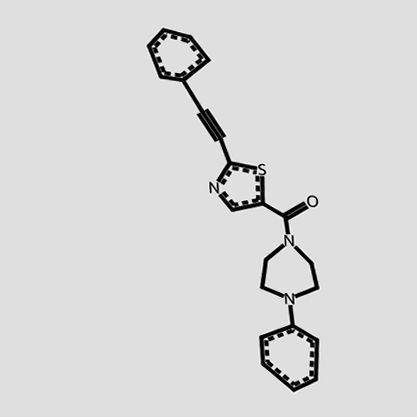 O=C(c1cnc(C#Cc2ccccc2)s1)N1CCN(c2ccccc2)CC1